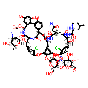 CN[C@H](CC(C)C)C(=O)N[C@H]1C(=O)C[C@@H](CC(N)=O)C(=O)N[C@H]2C(=O)C[C@H]3C(=O)NC(C(=O)N[C@@H](OC=O)c4cc(O)cc(O)c4-c4cc3ccc4O)[C@H](O[C@H]3C[C@](C)(N)[C@@H](O)[C@H](C)O3)c3ccc(c(Cl)c3)Oc3cc2cc(c3O[C@@H]2O[C@H](CO)[C@@H](O[C@@H]3O[C@H](C=O)[C@H](O)[C@H](O)[C@H]3NC(C)=O)[C@H](O)[C@H]2O)Oc2ccc(cc2Cl)[C@H]1O